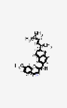 Cc1ccc(/C=C\C(=O)Nc2ccc3nc(N(C)CCN(C)C)ccc3c2)cc1